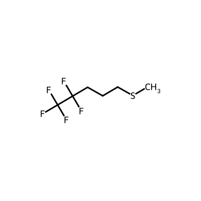 CSCCCC(F)(F)C(F)(F)F